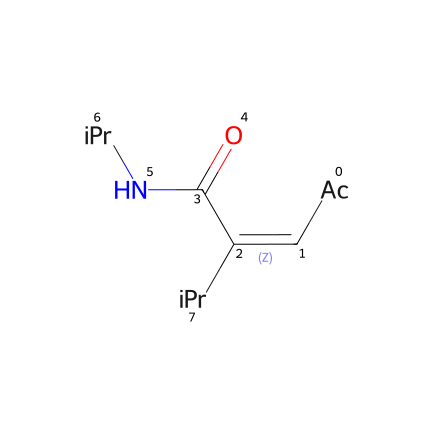 CC(=O)/C=C(\C(=O)NC(C)C)C(C)C